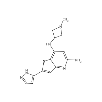 CN1CC(Nc2cc(N)nc3cc(-c4ccn[nH]4)sc23)C1